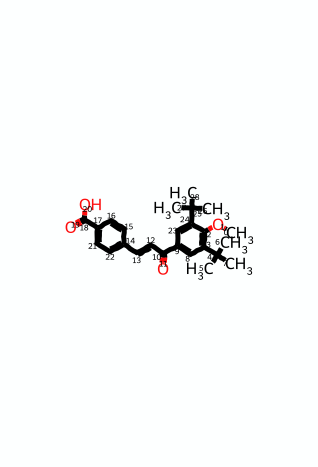 COc1c(C(C)(C)C)cc(C(=O)C=Cc2ccc(C(=O)O)cc2)cc1C(C)(C)C